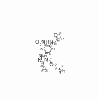 C[Si](C)(C)CCOCn1c(-c2ccc(NCC3CCO3)c([N+](=O)[O-])c2)nnc1C1CC1